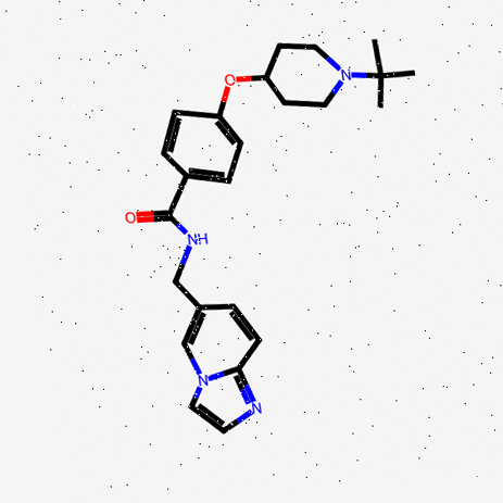 CC(C)(C)N1CCC(Oc2ccc(C(=O)NCc3ccc4nccn4c3)cc2)CC1